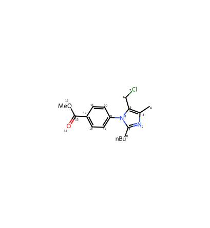 CCCCc1nc(C)c(CCl)n1-c1ccc(C(=O)OC)cc1